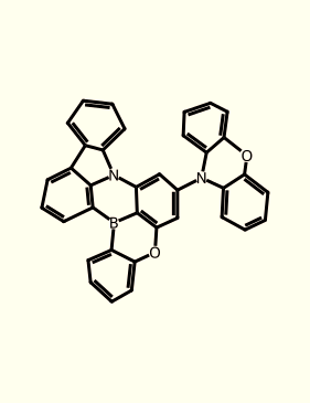 c1ccc2c(c1)Oc1cc(N3c4ccccc4Oc4ccccc43)cc3c1B2c1cccc2c4ccccc4n-3c12